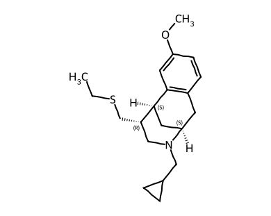 CCSC[C@H]1CN(CC2CC2)[C@@H]2Cc3ccc(OC)cc3[C@H]1C2